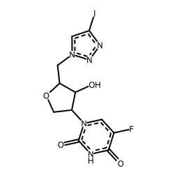 O=c1[nH]c(=O)n(C2COC(Cn3cc(I)nn3)C2O)cc1F